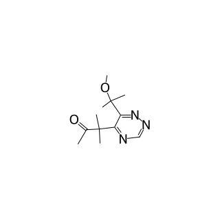 COC(C)(C)c1nncnc1C(C)(C)C(C)=O